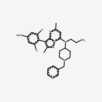 COc1cc(Cl)c(-c2c(C)nn3c(N(CCN)C4CCN(Cc5cccnc5)CC4)cc(C)nc23)c(Cl)c1